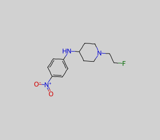 O=[N+]([O-])c1ccc(NC2CCN(CCF)CC2)cc1